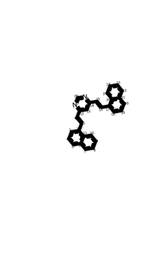 C(=Cc1cccc2ccccc12)c1cc(C=Cc2cccc3ccccc23)ncn1